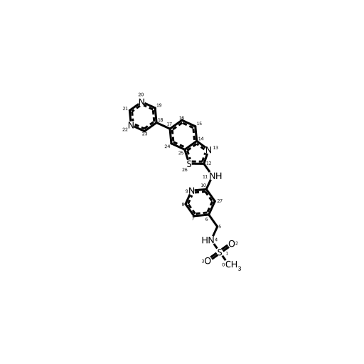 CS(=O)(=O)NCc1ccnc(Nc2nc3ccc(-c4cncnc4)cc3s2)c1